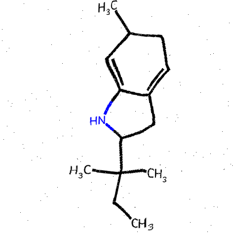 CCC(C)(C)C1CC2=CCC(C)C=C2N1